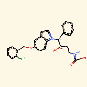 O=C(O)NCC[C@@H](O)[C@H](c1ccccc1)n1ccc2cc(OCc3ccccc3Cl)ccc21